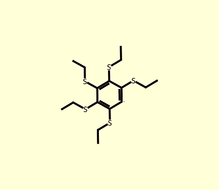 CCSc1[c]c(SCC)c(SCC)c(SCC)c1SCC